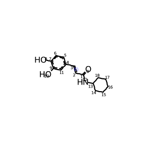 O=C(/C=C/c1ccc(O)c(O)c1)NC1CCCCC1